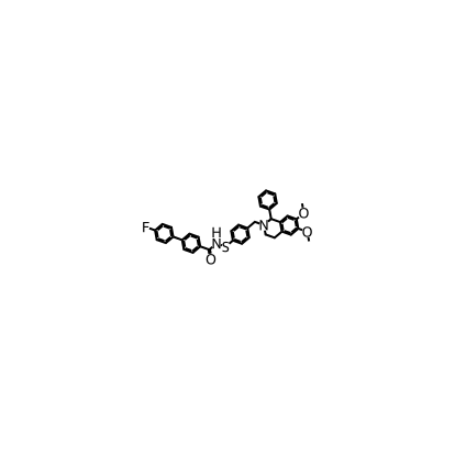 COc1cc2c(cc1OC)C(c1ccccc1)N(Cc1ccc(SNC(=O)c3ccc(-c4ccc(F)cc4)cc3)cc1)CC2